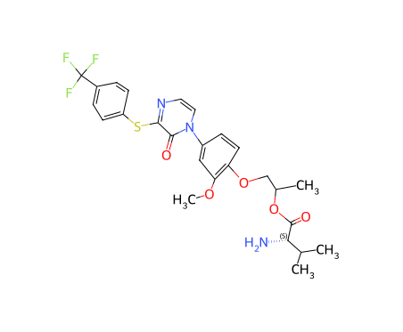 COc1cc(-n2ccnc(Sc3ccc(C(F)(F)F)cc3)c2=O)ccc1OCC(C)OC(=O)[C@@H](N)C(C)C